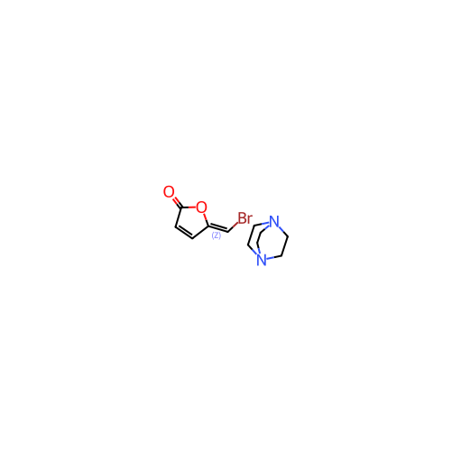 C1CN2CCN1CC2.O=C1C=C/C(=C/Br)O1